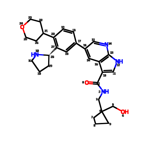 O=C(NCC1(CO)CCC1)c1c[nH]c2ncc(-c3ccc(C4CCOCC4)c([C@@H]4CCCN4)c3)cc12